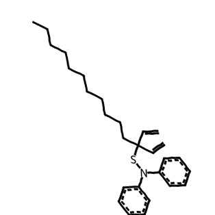 C=CC(C=C)(CCCCCCCCCCC)SN(c1ccccc1)c1ccccc1